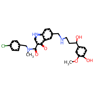 COc1cc(C(O)CCNCc2ccc3[nH]cc(C(=O)N(C)Cc4ccc(Cl)cc4)c(=O)c3c2)ccc1O